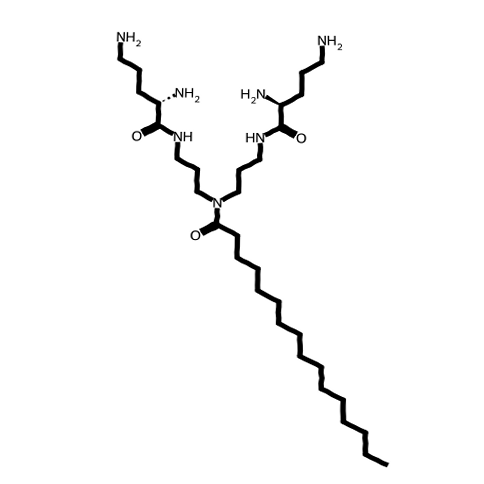 CCCCCCCCCCCCCCCC(=O)N(CCCNC(=O)[C@@H](N)CCCN)CCCNC(=O)[C@@H](N)CCCN